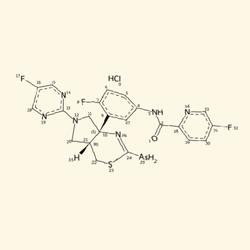 Cl.O=C(Nc1ccc(F)c([C@]23CN(c4ncc(F)cn4)C[C@H]2CSC([AsH2])=N3)c1)c1ccc(F)cn1